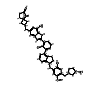 COc1nc(O[C@@H]2CCc3c(-c4cccc(-c5nc6cc(CN7CC8(CCC(=O)N8)C7)cc(C#N)c6o5)c4Cl)cccc32)c(Cl)cc1CN1CC[C@H](O)C1